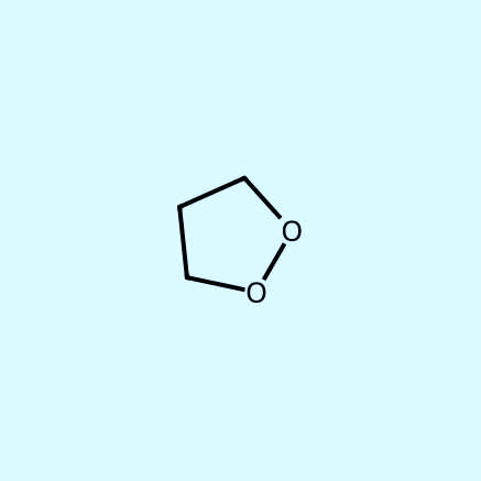 C1COOC1